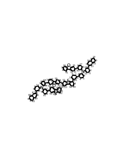 c1cc(-c2cccc(N(c3cccc(-c4ccc5ccccc5c4)c3)c3cccc(-c4ccc5c(c4)oc4ccccc45)c3)c2)cc(-c2cccc3c2sc2cc(-c4ccc5c(c4)oc4cc(-c6cccc(N(c7cccc(-c8ccc9ccccc9c8)c7)c7cccc(-c8ccc9c(c8)sc8ccccc89)c7)c6)ccc45)ccc23)c1